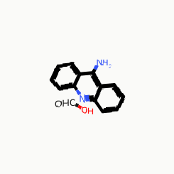 Nc1c2ccccc2nc2ccccc12.O=CO